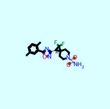 Cc1ccc(C)c(-c2nc([C@@H]3C(F)(F)C34CCN(S(N)(=O)=O)CC4)no2)c1